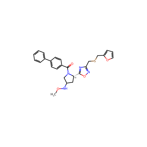 CONC1C[C@@H](c2nc(CSCc3ccco3)no2)N(C(=O)c2ccc(-c3ccccc3)cc2)C1